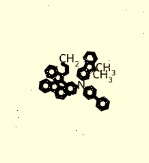 C=C/C=C\C1=C(c2cccc(N(c3ccc(-c4ccccc4)cc3)c3ccc4c(c3)C(C)(C)C3=C4CCC=C3)c2)C2(c3ccccc31)c1ccccc1-c1ccccc12